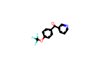 O=C(c1ccc(OC(F)(F)F)cc1)c1cccnc1